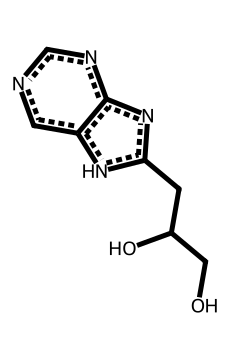 OCC(O)Cc1nc2ncncc2[nH]1